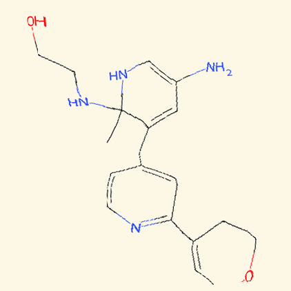 CC1(NCCO)NC=C(N)C=C1c1ccnc(C2=CCOCC2)c1